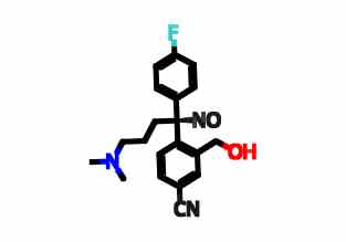 CN(C)CCC[C@](N=O)(c1ccc(F)cc1)c1ccc(C#N)cc1CO